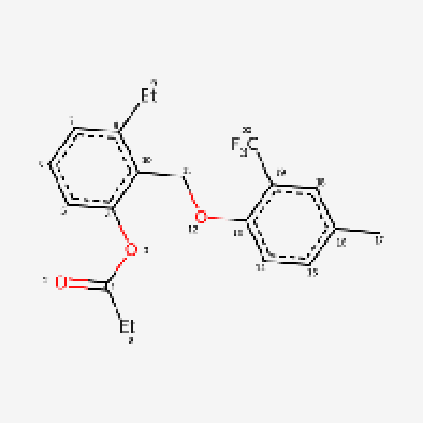 CCC(=O)Oc1cccc(CC)c1COc1ccc(C)cc1C(F)(F)F